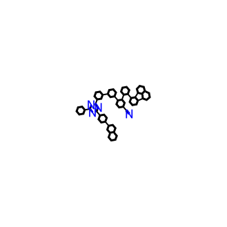 N#Cc1ccc(-c2cccc(-c3cccc(-c4nc(-c5ccccc5)nc(-c5ccc(-c6ccc7ccccc7c6)cc5)n4)c3)c2)c(-c2ccccc2-c2cccc3c2-c2cccc4cccc-3c24)c1